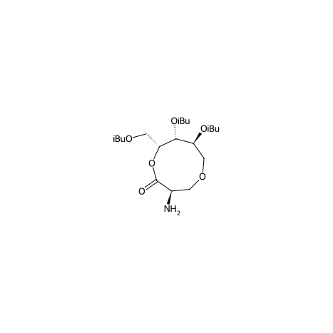 CC(C)COC[C@H]1OC(=O)[C@H](N)COC[C@H](OCC(C)C)[C@H]1OCC(C)C